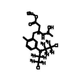 [2H]C([2H])(Cl)C([2H])([2H])N(c1ccc(C)c(C[C@@H](CC(=O)OC(C)(C)C)NB(C)O)c1)C([2H])([2H])C([2H])([2H])Cl